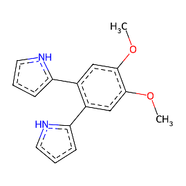 COc1cc(-c2ccc[nH]2)c(-c2ccc[nH]2)cc1OC